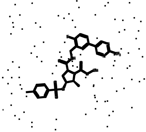 Cc1ccc(S(=O)(=O)O[C@H]2CC(C(=O)NCc3cc(-c4cnc(C(F)(F)F)nc4)ccc3F)N(C(=O)OC(C)(C)C)[C@H]2C)cc1